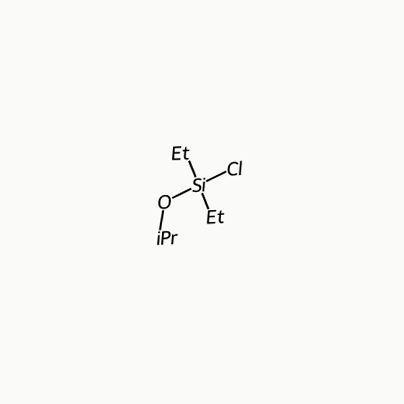 CC[Si](Cl)(CC)OC(C)C